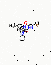 Cc1ccc(N2C(=O)c3cc(-c4cccs4)nn3CC2(C)C(=O)NC2CCCCCC2)c(C)c1